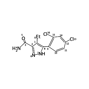 CCc1c(C(N)=O)n[nH]c1-c1ccc(Cl)cc1Cl